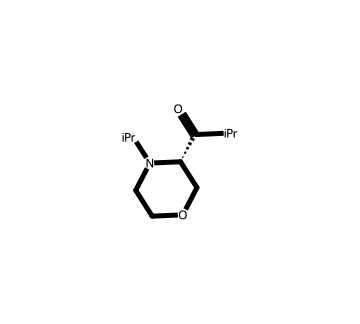 CC(C)C(=O)[C@@H]1COCCN1C(C)C